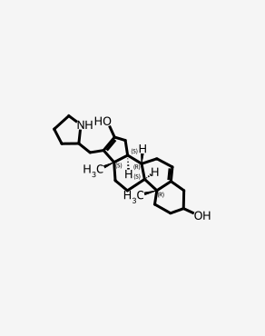 C[C@]12CCC(O)CC1=CC[C@@H]1[C@@H]2CC[C@]2(C)C(CC3CCCN3)=C(O)C[C@@H]12